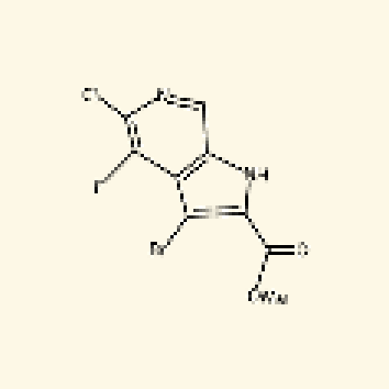 COC(=O)c1[nH]c2cnc(Cl)c(F)c2c1Br